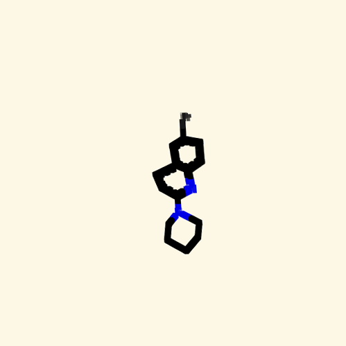 CC(C)c1ccc2nc(N3CCCCC3)ccc2c1